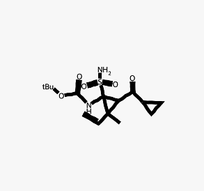 C=CC1(C)C(C(=O)C2CC2)C1(NC(=O)OC(C)(C)C)S(N)(=O)=O